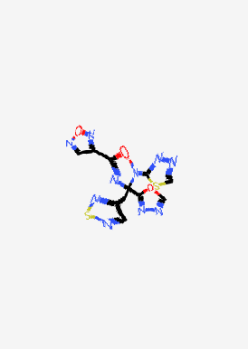 c1nnc(C2(c3cnsn3)N=C(c3cnon3)ON2c2nncs2)o1